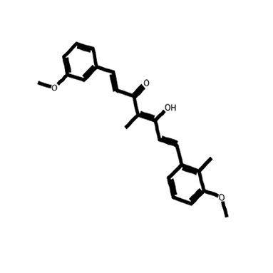 COc1cccc(/C=C/C(=O)/C(C)=C(O)/C=C/c2cccc(OC)c2C)c1